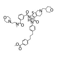 COC(=O)c1ccc(CCCc2ccc(NC(=O)c3c(NC(=O)c4cccc(C(=O)N(C)CCN5CCOCC5)c4)sc4c3CCN(CC3CCOCC3)C4)cc2)cc1